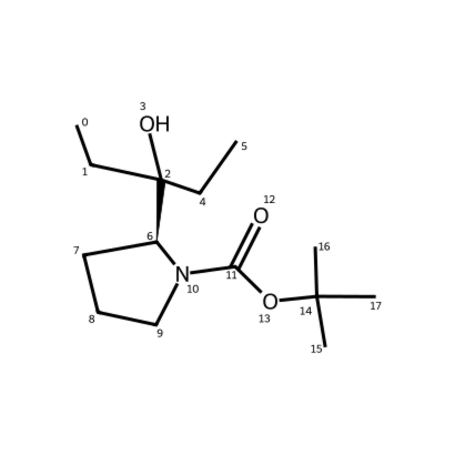 CCC(O)(CC)[C@@H]1CCCN1C(=O)OC(C)(C)C